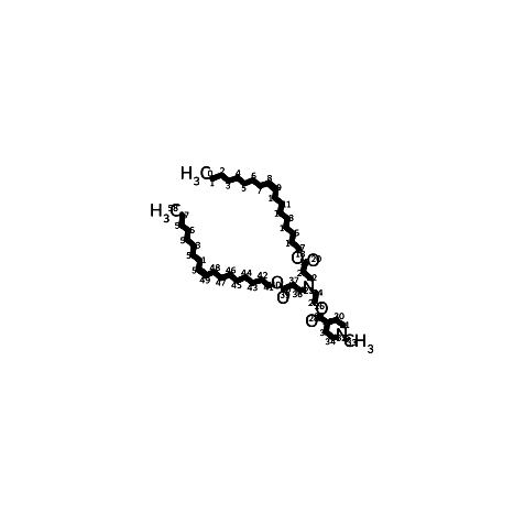 CCCCCCCC/C=C\CCCCCCCCOC(=O)CCN(CCOC(=O)C1CCN(C)CC1)CCC(=O)OCCCCCCCC/C=C\CCCCCCCC